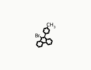 Cc1ccc(-c2c(Br)c3ccccc3c3ccccc23)cc1